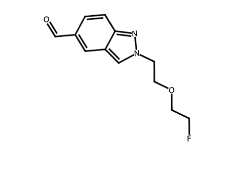 O=Cc1ccc2nn(CCOCCF)cc2c1